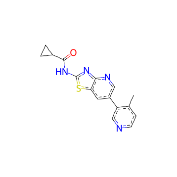 Cc1ccncc1-c1cnc2nc(NC(=O)C3CC3)sc2c1